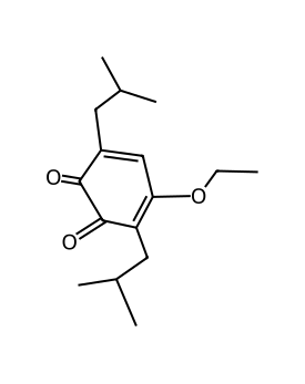 CCOC1=C(CC(C)C)C(=O)C(=O)C(CC(C)C)=C1